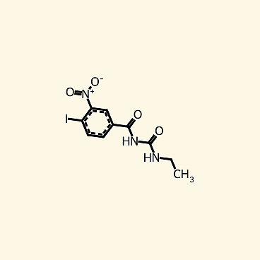 CCNC(=O)NC(=O)c1ccc(I)c([N+](=O)[O-])c1